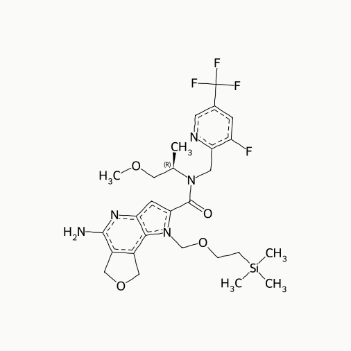 COC[C@@H](C)N(Cc1ncc(C(F)(F)F)cc1F)C(=O)c1cc2nc(N)c3c(c2n1COCC[Si](C)(C)C)COC3